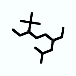 CCN(CCN(CC)C(C)(C)C)CC(C)C